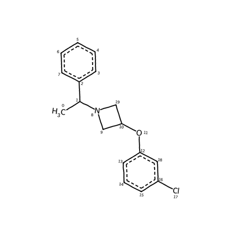 CC(c1ccccc1)N1CC(Oc2cccc(Cl)c2)C1